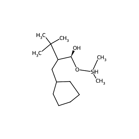 C[SiH](C)O[C@H](O)C(CC1CCCCC1)C(C)(C)C